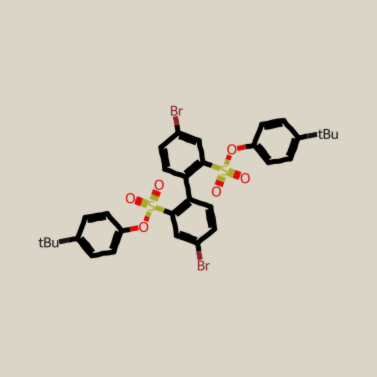 CC(C)(C)c1ccc(OS(=O)(=O)c2cc(Br)ccc2-c2ccc(Br)cc2S(=O)(=O)Oc2ccc(C(C)(C)C)cc2)cc1